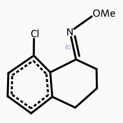 CO/N=C1\CCCc2cccc(Cl)c21